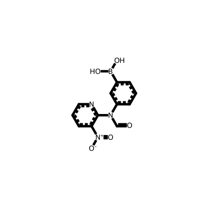 O=CN(c1cccc(B(O)O)c1)c1ncccc1[N+](=O)[O-]